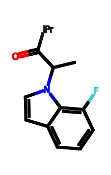 CC(C)C(=O)C(C)n1ccc2cccc(F)c21